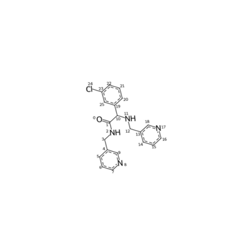 O=C(NCc1cccnc1)C(NCc1cccnc1)c1cccc(Cl)c1